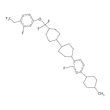 CC1CCC(c2ccc(C3CCC(C4CCC(C(F)(F)Oc5ccc(CC(F)(F)F)c(F)c5)CC4)CC3)c(F)c2)CC1